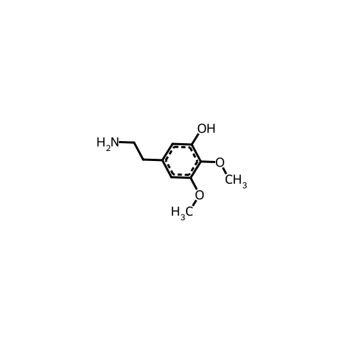 COc1cc(CCN)cc(O)c1OC